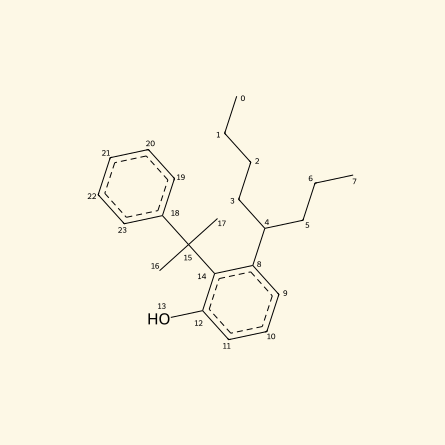 CCCCC(CCC)c1cccc(O)c1C(C)(C)c1ccccc1